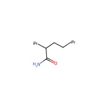 CC(C)CCC(C(N)=O)C(C)C